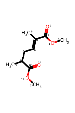 COC(=O)C(C)=CCC(C)C(=O)OC